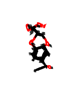 CC(=O)c1ccc2c(c1)OCC(C(=O)O)O2